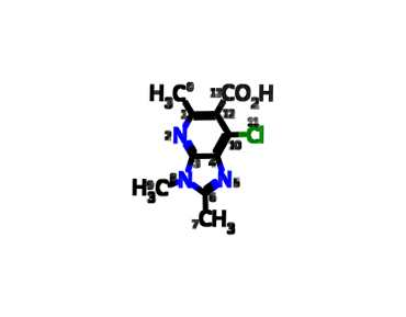 Cc1nc2c(nc(C)n2C)c(Cl)c1C(=O)O